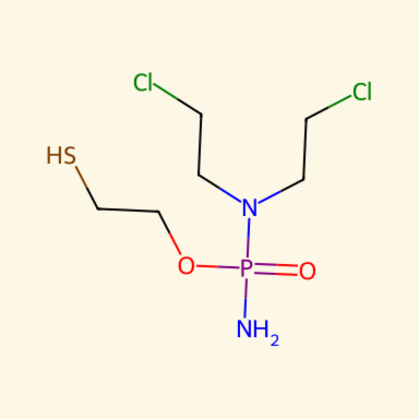 NP(=O)(OCCS)N(CCCl)CCCl